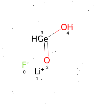 [F-].[Li+].[O]=[GeH][OH]